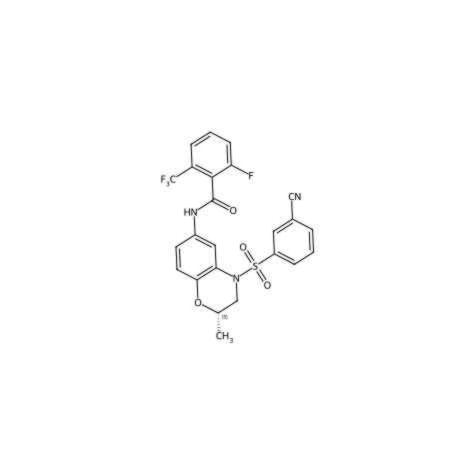 C[C@H]1CN(S(=O)(=O)c2cccc(C#N)c2)c2cc(NC(=O)c3c(F)cccc3C(F)(F)F)ccc2O1